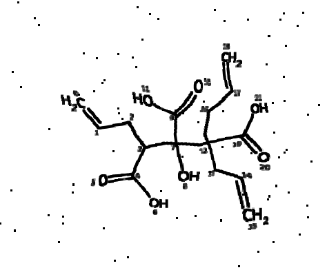 C=CCC(C(=O)O)C(O)(C(=O)O)C(CC=C)(CC=C)C(=O)O